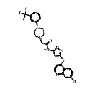 O=C(CN1CCN(c2cccc(C(F)(F)F)c2)CC1)Nc1nnc(Sc2ccnc3cc(Cl)ccc23)s1